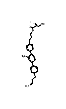 C=CCCc1ccc(-c2ccc(-c3ccc(CCCOC(=O)C(=C)CO)cc3)c(C)c2)cc1